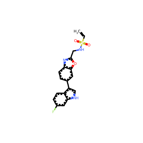 C=CS(=O)(=O)NCc1nc2ccc(-c3c[nH]c4cc(F)ccc34)cc2o1